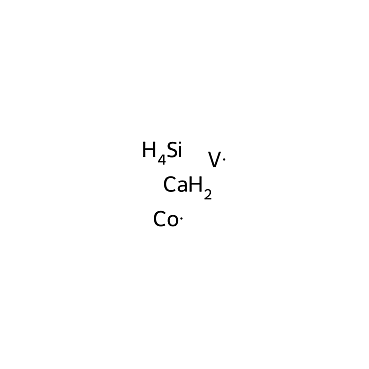 [CaH2].[Co].[SiH4].[V]